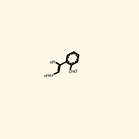 CCCCCCC=C(CCC)c1ccccc1C=O